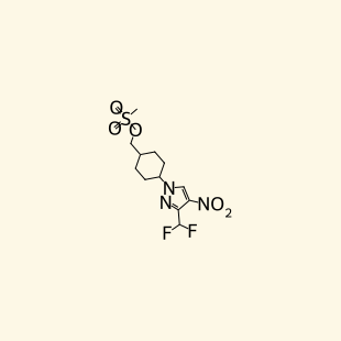 CS(=O)(=O)OCC1CCC(n2cc([N+](=O)[O-])c(C(F)F)n2)CC1